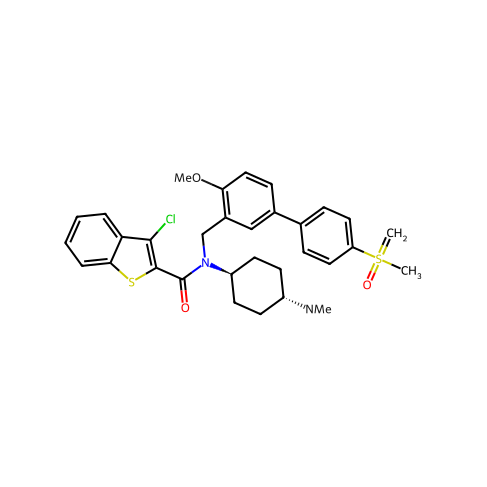 C=S(C)(=O)c1ccc(-c2ccc(OC)c(CN(C(=O)c3sc4ccccc4c3Cl)[C@H]3CC[C@H](NC)CC3)c2)cc1